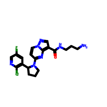 NCCCNC(=O)c1cnn2ccc(N3CCCC3c3cc(F)cnc3Cl)nc12